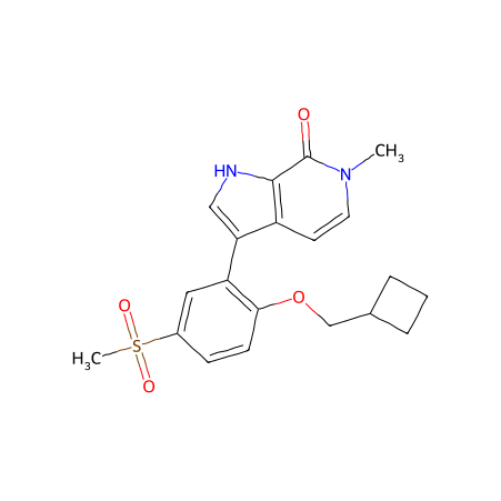 Cn1ccc2c(-c3cc(S(C)(=O)=O)ccc3OCC3CCC3)c[nH]c2c1=O